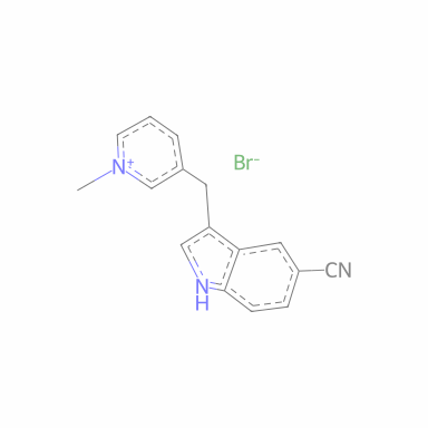 C[n+]1cccc(Cc2c[nH]c3ccc(C#N)cc23)c1.[Br-]